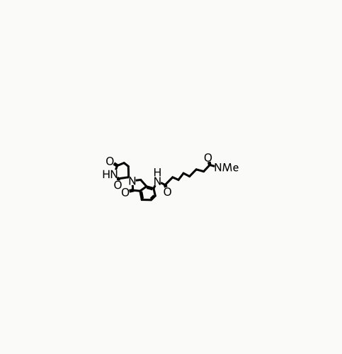 CNC(=O)CCCCCCC(=O)Nc1cccc2c1CN(C1CCC(=O)NC1=O)C2=O